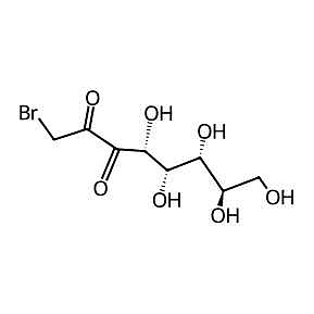 O=C(CBr)C(=O)[C@H](O)[C@@H](O)[C@H](O)[C@H](O)CO